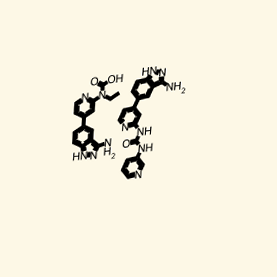 CCN(C(=O)O)c1cc(-c2ccc3[nH]nc(N)c3c2)ccn1.Nc1n[nH]c2ccc(-c3ccnc(NC(=O)Nc4cccnc4)c3)cc12